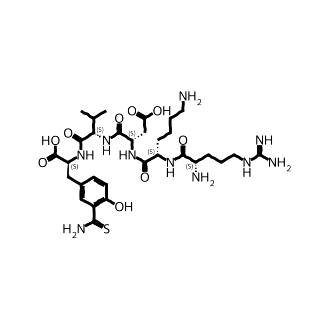 CC(C)[C@H](NC(=O)[C@H](CC(=O)O)NC(=O)[C@H](CCCCN)NC(=O)[C@@H](N)CCCNC(=N)N)C(=O)N[C@@H](Cc1ccc(O)c(C(N)=S)c1)C(=O)O